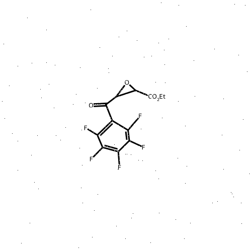 CCOC(=O)C1OC1C(=O)c1c(F)c(F)c(F)c(F)c1F